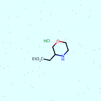 CCOC(=O)CC1COCCN1.Cl